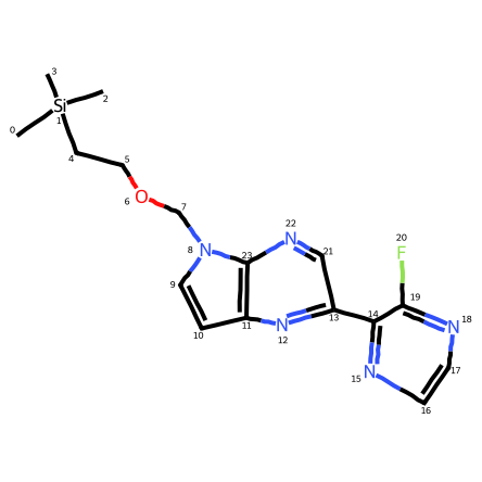 C[Si](C)(C)CCOCn1ccc2nc(-c3nccnc3F)cnc21